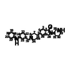 O=C1c2ccc(C3CCN(Cc4cccc(Nc5ccccc5)c4)CC3)cc2CN1C1CCCNC1